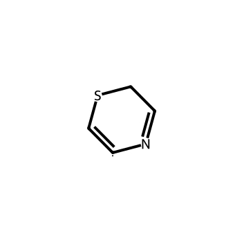 [C]1=CSCC=N1